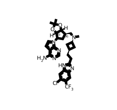 CN(C[C@H]1CC(n2ccc3c(N)ncnc32)[C@@H]2OC(C)(C)O[C@H]12)[C@H]1C[C@H](CCc2nc3cc(C(F)(F)F)c(Cl)cc3[nH]2)C1